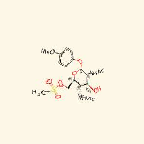 COc1ccc(O[C@@H]2O[C@H](COS(C)(=O)=O)[C@@H](NC(C)=O)[C@H](O)[C@@H]2NC(C)=O)cc1